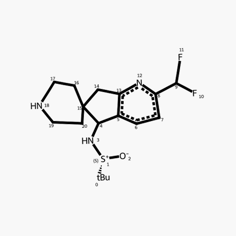 CC(C)(C)[S@@+]([O-])NC1c2ccc(C(F)F)nc2CC12CCNCC2